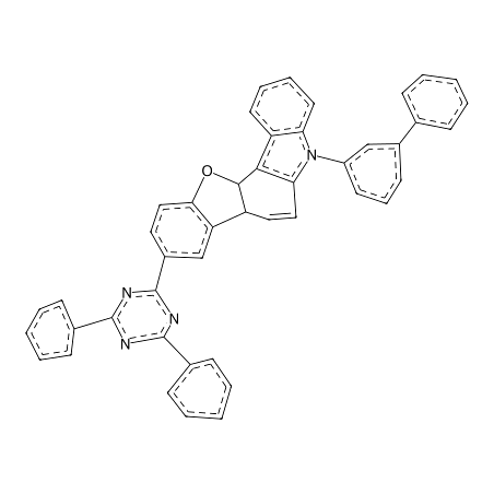 C1=CC2c3cc(-c4nc(-c5ccccc5)nc(-c5ccccc5)n4)ccc3OC2c2c1n(-c1cccc(-c3ccccc3)c1)c1ccccc21